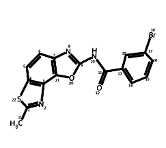 Cc1nc2c(ccc3nc(NC(=O)c4cccc(Br)c4)oc32)s1